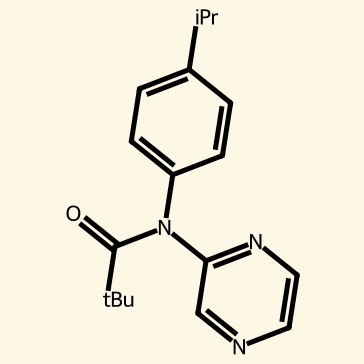 CC(C)c1ccc(N(C(=O)C(C)(C)C)c2cnccn2)cc1